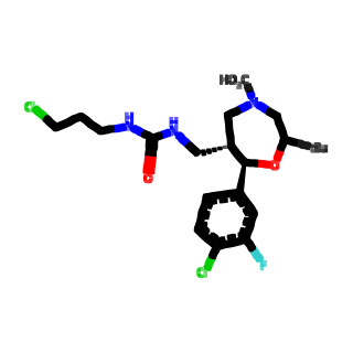 CC(C)(C)C1CN(C(=O)O)C[C@@H](CNC(=O)NCCCCl)[C@H](c2ccc(Cl)c(F)c2)O1